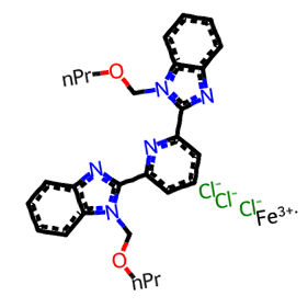 CCCOCn1c(-c2cccc(-c3nc4ccccc4n3COCCC)n2)nc2ccccc21.[Cl-].[Cl-].[Cl-].[Fe+3]